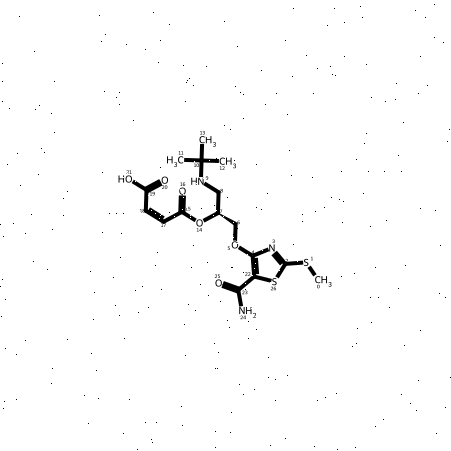 CSc1nc(OC[C@H](CNC(C)(C)C)OC(=O)/C=C\C(=O)O)c(C(N)=O)s1